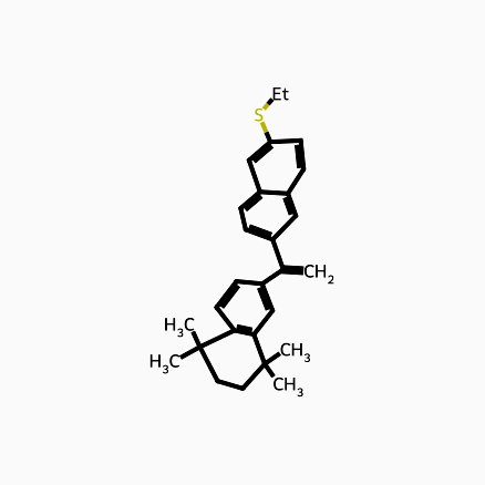 C=C(c1ccc2c(c1)C(C)(C)CCC2(C)C)c1ccc2cc(SCC)ccc2c1